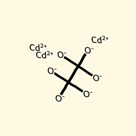 [Cd+2].[Cd+2].[Cd+2].[O-]C([O-])([O-])C([O-])([O-])[O-]